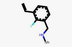 C=Cc1cccc(CNCCC)c1F